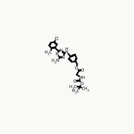 Cc1ccc(Cl)cc1-c1nc(N)nc(Nc2ccc(COC(=O)CNC(=O)OC(C)(C)C)cc2)n1